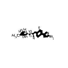 C[C@H]1[C@H]2[C@H]3C[C@H](N[C@@H]3C(=O)N[C@H](C#N)Cc3ccc(-c4ccc(N)nc4)cc3F)[C@@H]12